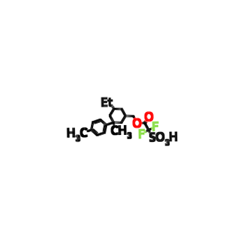 CCC1CC(COC(=O)C(F)(F)S(=O)(=O)O)CC(C)(c2ccc(C)cc2)C1